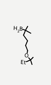 BC(C)(C)CCCCOC(C)(C)CC